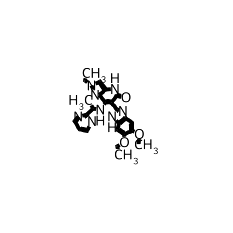 CCOc1cc2[nH]c(-c3c(NC(C)c4ncccn4)c4nn(CC)cc4[nH]c3=O)nc2cc1OC